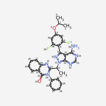 CC(C)Oc1cc(F)c(-c2nn(C(C)c3nc4ccccc4c(=O)n3-c3ccccc3)c3ncnc(N)c23)c(F)c1